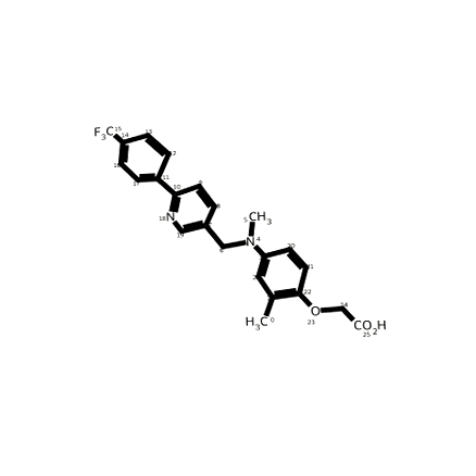 Cc1cc(N(C)Cc2ccc(-c3ccc(C(F)(F)F)cc3)nc2)ccc1OCC(=O)O